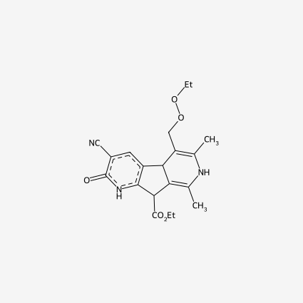 CCOOCC1=C(C)NC(C)=C2C1c1cc(C#N)c(=O)[nH]c1C2C(=O)OCC